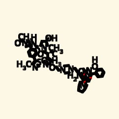 CC(=O)N1CC(NC(=O)[C@@H]2C[C@@H](O)CN2C(=O)[C@@H](c2cc(OCCN3CCN(CCOc4cc(N5C6CCC5CN(c5cc(-c7ccccc7O)nnc5N)C6)ccn4)CC3)no2)C(C)C)(c2ccc(-c3scnc3C)cc2)C1